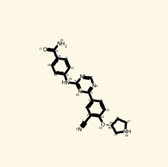 N#Cc1cc(-c2ncnc(Nc3ccc(C(N)=O)cc3)n2)ccc1O[C@@H]1CCNC1